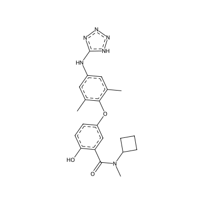 Cc1cc(Nc2nnn[nH]2)cc(C)c1Oc1ccc(O)c(C(=O)N(C)C2CCC2)c1